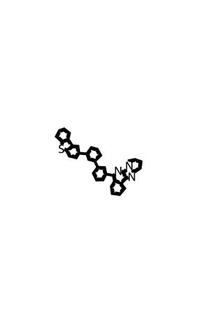 c1cc(-c2cccc(-c3nc4c(nc5ccccn54)c4ccccc34)c2)cc(-c2ccc3sc4ccccc4c3c2)c1